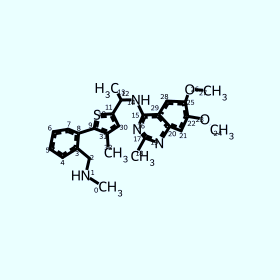 CNCc1ccccc1-c1sc(C(C)Nc2nc(C)nc3cc(OC)c(OC)cc23)cc1C